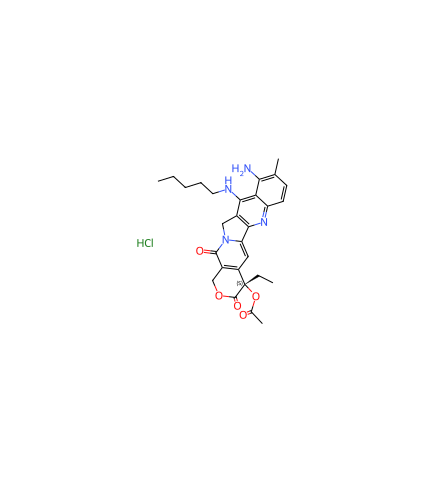 CCCCCNc1c2c(nc3ccc(C)c(N)c13)-c1cc3c(c(=O)n1C2)COC(=O)[C@@]3(CC)OC(C)=O.Cl